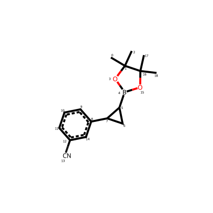 CC1(C)OB(C2CC2c2cccc(C#N)c2)OC1(C)C